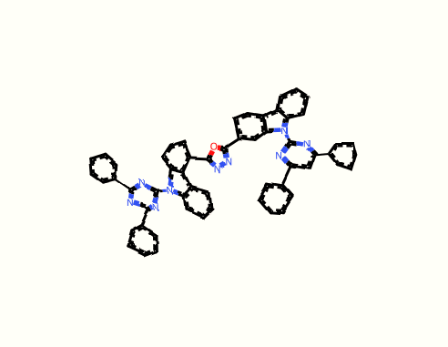 c1ccc(-c2cc(-c3ccccc3)nc(-n3c4ccccc4c4ccc(-c5nnc(-c6cccc7c6c6ccccc6n7-c6nc(-c7ccccc7)nc(-c7ccccc7)n6)o5)cc43)n2)cc1